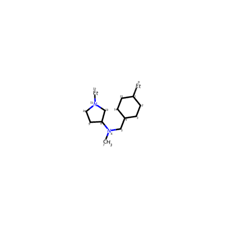 CCC1CCC(CN(C)C2CCN(CC)C2)CC1